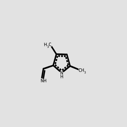 Cc1cc(C)c(C=N)[nH]1